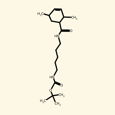 CC1C=CC(C)C(C(=O)NCCCCCNC(=O)OC(C)(C)C)C1